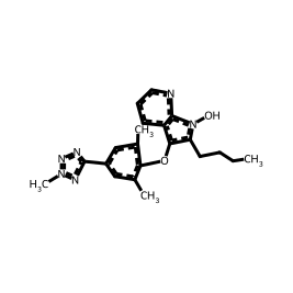 CCCCc1c(Oc2c(C)cc(-c3nnn(C)n3)cc2C)c2cccnc2n1O